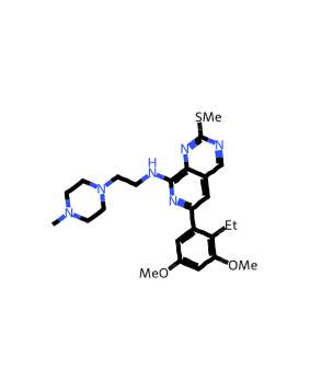 CCc1c(OC)cc(OC)cc1-c1cc2cnc(SC)nc2c(NCCN2CCN(C)CC2)n1